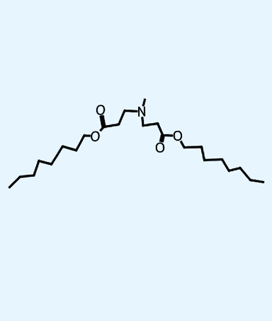 CCCCCCCCOC(=O)CCN(C)CCC(=O)OCCCCCCCC